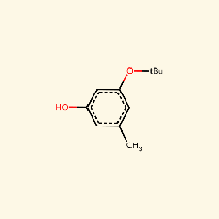 Cc1cc(O)cc(OC(C)(C)C)c1